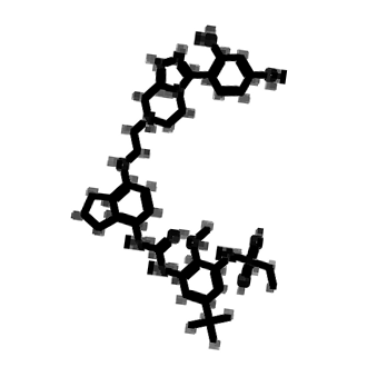 CCS(=O)(=O)Nc1cc(C(C)(C)C)cc(NC(=O)Nc2ccc(OCCN3CCn4c(nnc4-c4ccc(O)cc4O)C3)c3c2CCC3)c1OC